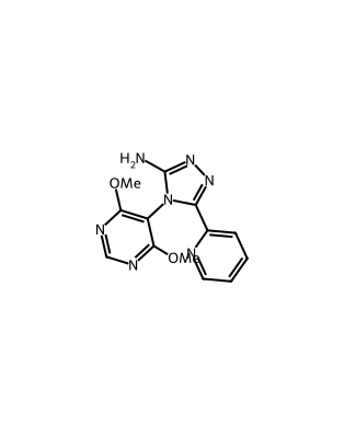 COc1ncnc(OC)c1-n1c(N)nnc1-c1ccccn1